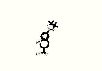 CC1(C)OB(c2ccc3c(c2)CCC(C(=O)O)CN3)OC1(C)C